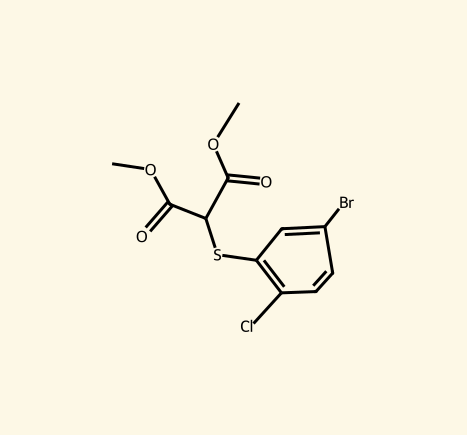 COC(=O)C(Sc1cc(Br)ccc1Cl)C(=O)OC